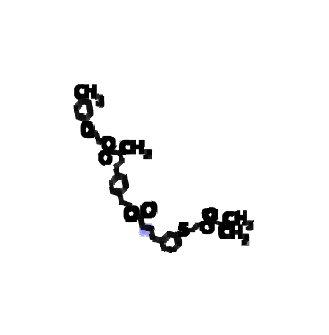 C=C(C)C(=O)OCCSc1cccc(C/C=C/C(=O)OCCc2ccc(CCC(=C)C(=O)OCCOc3ccc(C)cc3)cc2)c1